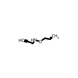 C#CCNOCC=C